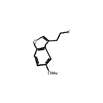 COc1ccc2occ(CCI)c2c1